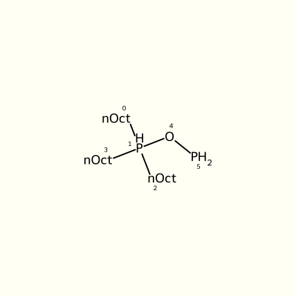 CCCCCCCC[PH](CCCCCCCC)(CCCCCCCC)OP